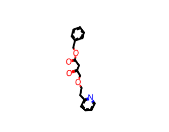 O=C(COCCc1ccccn1)CC(=O)OCc1ccccc1